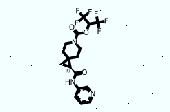 O=C(Nc1cccnc1)[C@H]1CC12CCN(C(=O)OC(C(F)(F)F)C(F)(F)F)CC2